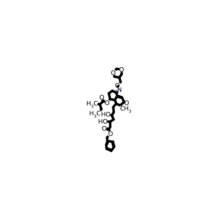 CCC(C)C(=O)OC1CC/C(=N\OCC2COCOC2)C2=CC(=O)C(C)C(CCC(O)CC(O)CC(=O)OCc3ccccc3)C21